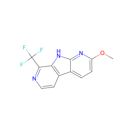 COc1ccc2c(n1)[nH]c1c(C(F)(F)F)nccc12